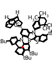 CC(C)(C)c1ccc(-c2cc(C(C)(C)C)ccc2N2c3ccc(C(C)(C)C)cc3B3c4sc5ccc(C(C)(C)C)cc5c4N(c4ccc5c(c4)C(C)(C)CCC5(C)C)c4cc([C@@]56CC7C8CC9C[C@@H]7C7[C@@H](C9)C(C5)C87C6)cc2c43)cc1